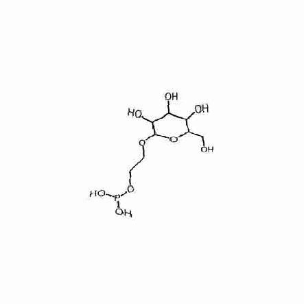 OCC1OC(OCCOP(O)O)C(O)C(O)C1O